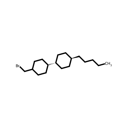 CCCCC[C@H]1CC[C@H](C2CCC(CBr)CC2)CC1